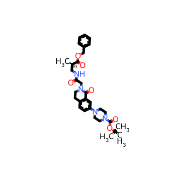 C[C@H](CNC(=O)CN1CCc2ccc(N3CCN(C(=O)OC(C)(C)C)CC3)cc2C1=O)C(=O)OCc1ccccc1